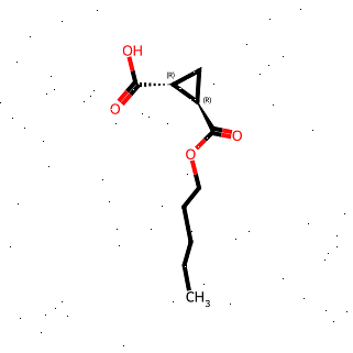 CCCCCOC(=O)[C@@H]1C[C@H]1C(=O)O